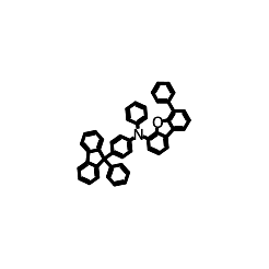 c1ccc(-c2cccc3c2oc2c(N(c4ccccc4)c4ccc(C5(c6ccccc6)c6ccccc6-c6ccccc65)cc4)cccc23)cc1